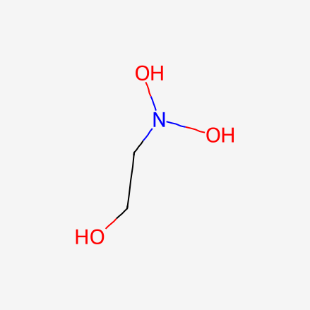 OCCN(O)O